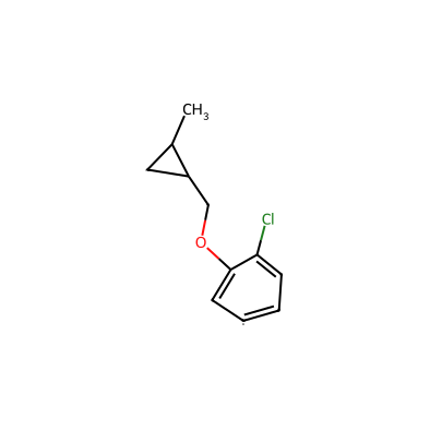 CC1CC1COc1c[c]ccc1Cl